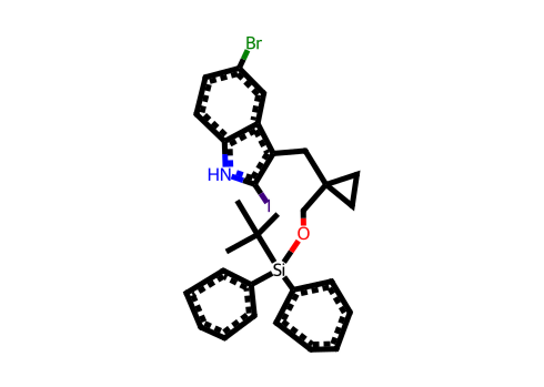 CC(C)(C)[Si](OCC1(Cc2c(I)[nH]c3ccc(Br)cc23)CC1)(c1ccccc1)c1ccccc1